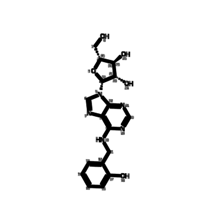 OC[C@H]1O[C@@H](n2cnc3c(NCc4ccccc4O)ncnc32)[C@@H](O)[C@@H]1O